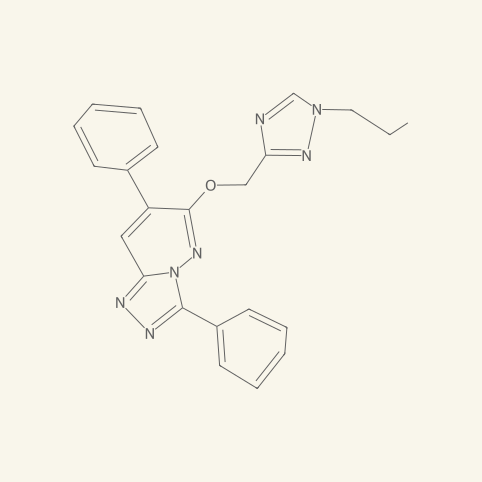 CCCn1cnc(COc2nn3c(-c4ccccc4)nnc3cc2-c2ccccc2)n1